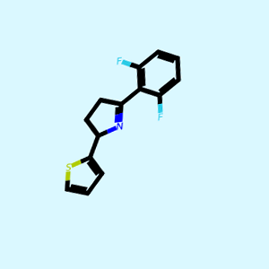 Fc1cccc(F)c1C1=NC(c2cccs2)CC1